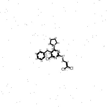 ClC(Cl)=CCSc1nc(Cl)c(Cc2ccccc2)c(N2CCCC2)n1